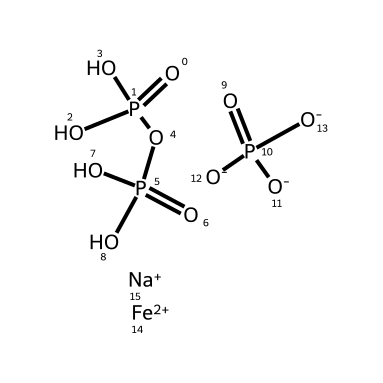 O=P(O)(O)OP(=O)(O)O.O=P([O-])([O-])[O-].[Fe+2].[Na+]